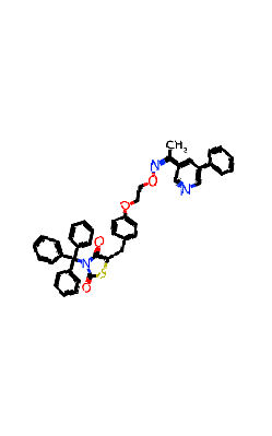 CC(=NOCCOc1ccc(CC2SC(=O)N(C(c3ccccc3)(c3ccccc3)c3ccccc3)C2=O)cc1)c1cncc(-c2ccccc2)c1